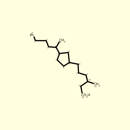 CC(C)CCCC(C)C1CCC(CCCC(C)CC(=O)O)C1